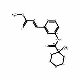 COC(=O)/C=C/c1cccc(NC(=O)C2(C)CCCCC2)c1